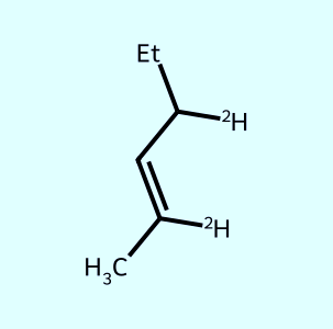 [2H]C(C)=CC([2H])CC